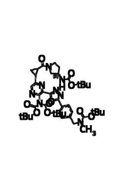 CN(Cc1ccc(-c2nnc(-c3nc(C4CC4C(=O)N4CC[C@@H](NC(=O)OC(C)(C)C)C4)cnc3N(C(=O)OC(C)(C)C)C(=O)OC(C)(C)C)o2)cc1)C(=O)OC(C)(C)C